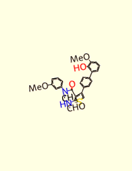 COc1cccc(N(C)C(=O)c2c(-c3ccc(-c4cccc(OC)c4O)cc3)csc2NC=O)c1